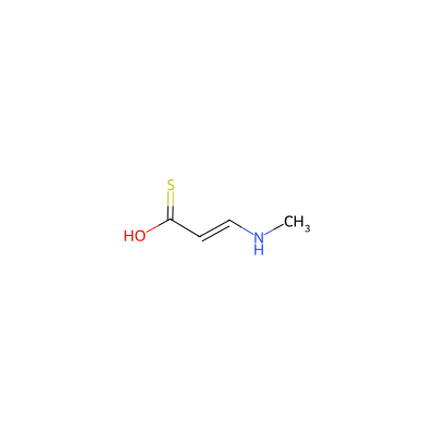 CNC=CC(O)=S